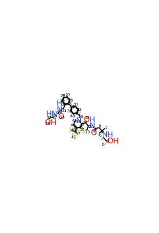 C[C@@H](O)CNC(C)(C)CC(=O)N[C@@H]1CSC2=C(C1=O)N(Cc1ccc(-c3ccccc3CNC(=O)NCCO)cc1)CC=C2C(F)(F)F